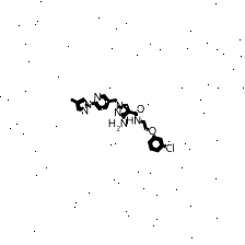 Cc1cnn(-c2ccc(Cn3cc(C(=O)NCCOc4cccc(Cl)c4)c(N)n3)cn2)c1